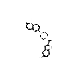 O=C(c1cc2cc(Br)ccc2[nH]1)N1CCN(c2ccc3[nH]c(=O)ccc3c2)CC1